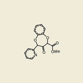 COC(=O)C1Oc2ccccc2OC(c2ccccn2)C1=O